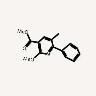 COC(=O)c1cc(C)c(-c2ccccc2)nc1OC